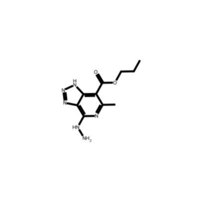 CCCOC(=O)c1c(C)nc(NN)c2nn[nH]c12